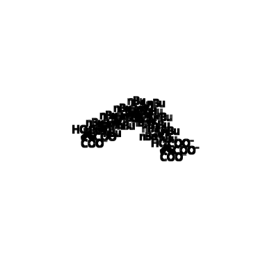 CCCC[N+](CCCC)(CCCC)CCCC.CCCC[N+](CCCC)(CCCC)CCCC.CCCC[N+](CCCC)(CCCC)CCCC.CCCC[N+](CCCC)(CCCC)CCCC.CCCC[N+](CCCC)(CCCC)CCCC.CCCC[N+](CCCC)(CCCC)CCCC.O=C([O-])CC(O)(CC(=O)[O-])C(=O)[O-].O=C([O-])CC(O)(CC(=O)[O-])C(=O)[O-]